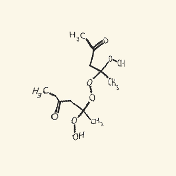 CC(=O)CC(C)(OO)OOC(C)(CC(C)=O)OO